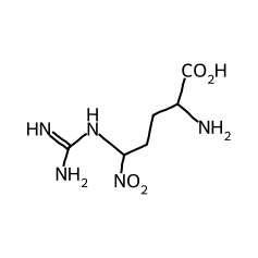 N=C(N)NC(CCC(N)C(=O)O)[N+](=O)[O-]